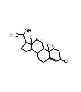 CC(O)C1CCC2C3CCC4=CC(O)CCC4(C)C3CCC12C